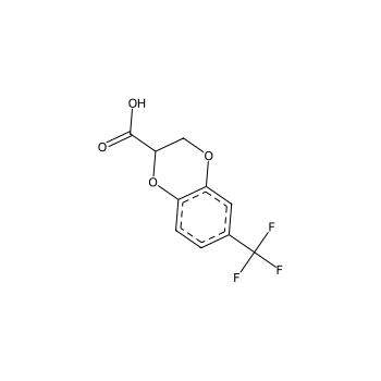 O=C(O)C1COc2cc(C(F)(F)F)ccc2O1